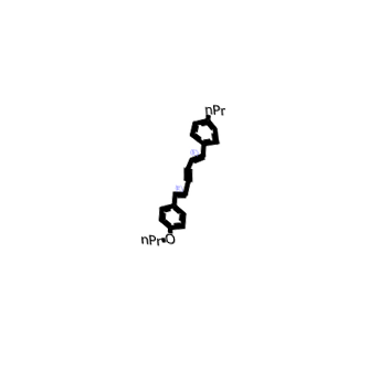 CCCOc1ccc(/C=C/C#C/C=C/c2ccc(CCC)cc2)cc1